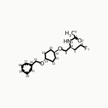 CC(=O)N[C@@H](CCF)CO[C@H]1CC[C@H](OCc2ccccc2)CC1